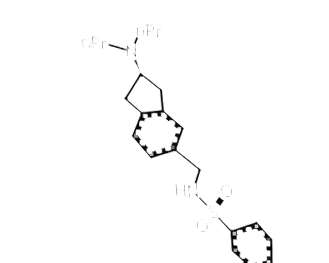 CCCN(CCC)[C@@H]1Cc2ccc(CNS(=O)(=O)c3ccccc3)cc2C1